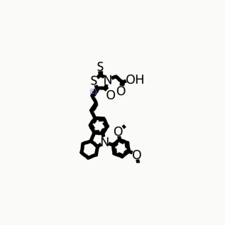 COc1ccc(N2c3ccc(C=C/C=C4/SC(=S)N(CC(=O)O)C4=O)cc3C3CCCCC32)c(OC)c1